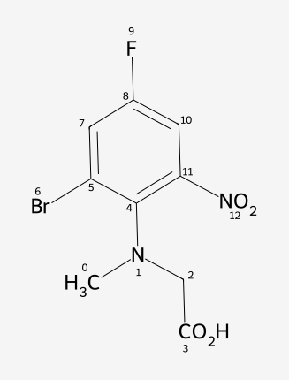 CN(CC(=O)O)c1c(Br)cc(F)cc1[N+](=O)[O-]